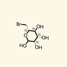 OC1O[C@H](CBr)[C@@H](O)[C@H](O)[C@@H]1O